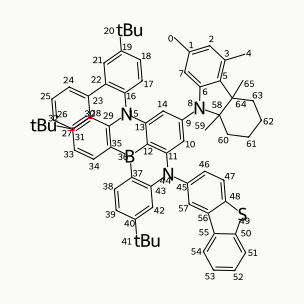 Cc1cc(C)c2c(c1)N(c1cc3c4c(c1)N(c1ccc(C(C)(C)C)cc1-c1ccccc1)c1cc(C(C)(C)C)ccc1B4c1ccc(C(C)(C)C)cc1N3c1ccc3sc4ccccc4c3c1)C1(C)CCCCC21C